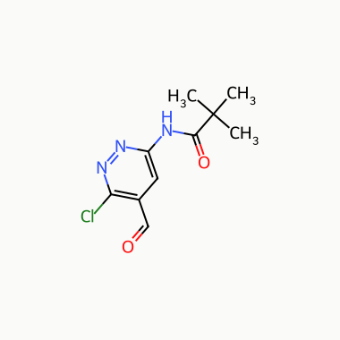 CC(C)(C)C(=O)Nc1cc(C=O)c(Cl)nn1